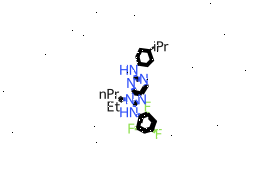 CCCC(CC)n1c(Nc2c(F)cc(F)cc2F)nc2cnc(N[C@H]3CC[C@H](C(C)C)CC3)nc21